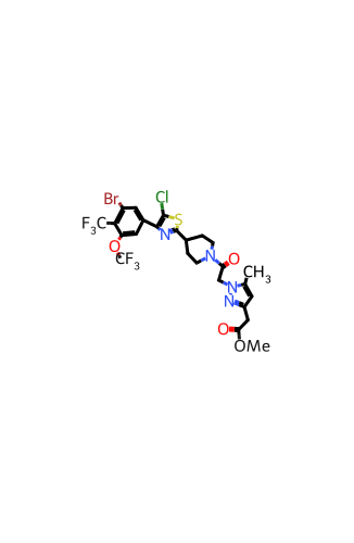 COC(=O)Cc1cc(C)n(CC(=O)N2CCC(c3nc(-c4cc(Br)c(C(F)(F)F)c(OC(F)(F)F)c4)c(Cl)s3)CC2)n1